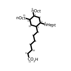 CCCCCCCCC1CC(CCCCCCC)C(CCCCCCC(=O)O)CC1CCCCCCCC